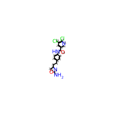 NC1=NC(CCc2ccc(NC(=O)c3cnc(Cl)c(Cl)c3)cc2)CO1